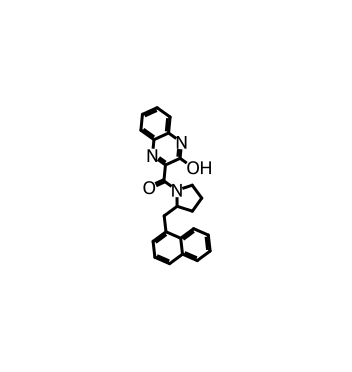 O=C(c1nc2ccccc2nc1O)N1CCCC1Cc1cccc2ccccc12